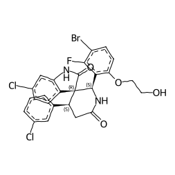 O=C1C[C@@H](c2cccc(Cl)c2)[C@]2(C(=O)Nc3cc(Cl)ccc32)[C@@H](c2c(OCCO)ccc(Br)c2F)N1